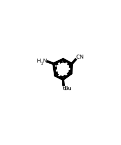 CC(C)(C)c1cc(N)cc(C#N)c1